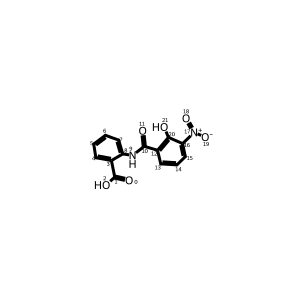 O=C(O)c1ccccc1NC(=O)c1cccc([N+](=O)[O-])c1O